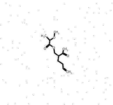 C=CCCC(COC(=O)C(C)OC)C(C)=O